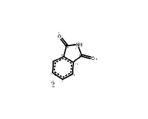 O=C1NC(=O)c2ccccc21.[S]